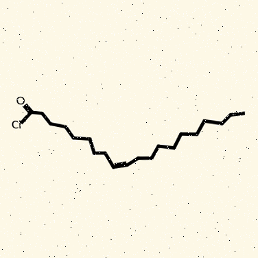 CCCCCCCCCC/C=C\CCCCCCCC(=O)Cl